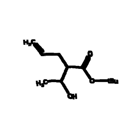 C=CCC(C(=O)OC(C)(C)C)C(C)O